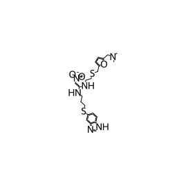 CN(C)Cc1ccc(CSCCNC(=C[N+](=O)[O-])NCCCSc2ccc3[nH]cnc3c2)o1